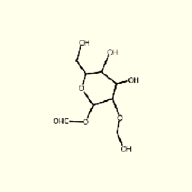 O=COC1OC(CO)C(O)C(O)C1OCO